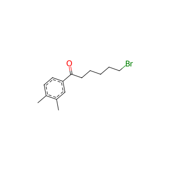 Cc1ccc(C(=O)CCCCCBr)cc1C